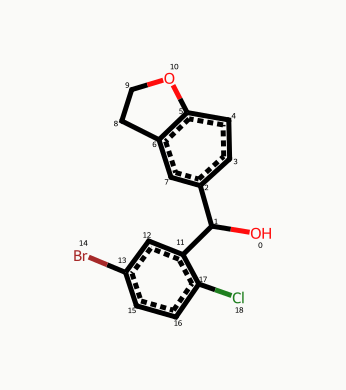 OC(c1ccc2c(c1)CCO2)c1cc(Br)ccc1Cl